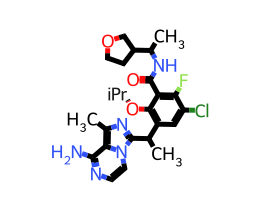 Cc1nc(C(C)c2cc(Cl)c(F)c(C(=O)NC(C)C3CCOC3)c2OC(C)C)n2ccnc(N)c12